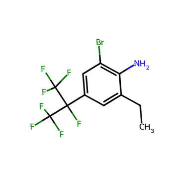 CCc1cc(C(F)(C(F)(F)F)C(F)(F)F)cc(Br)c1N